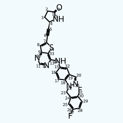 O=C1CC[C@H](C#Cc2cc3ncnc(Nc4ccc5c(cnn5Cc5cc(F)ccc5F)c4)c3s2)N1